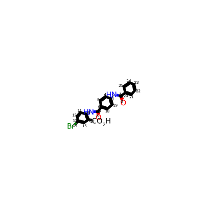 O=C(Nc1ccc(C(=O)Nc2ccc(Br)cc2C(=O)O)cc1)c1ccccc1